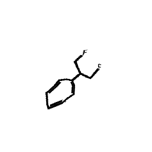 FCC(CF)c1c[c]ccc1